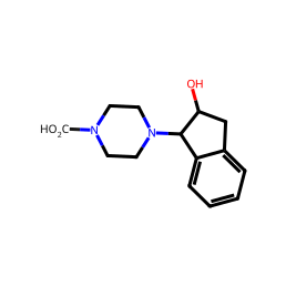 O=C(O)N1CCN(C2c3ccccc3CC2O)CC1